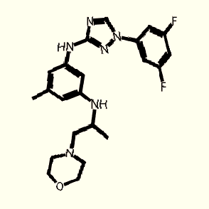 Cc1cc(Nc2ncn(-c3cc(F)cc(F)c3)n2)cc(NC(C)CN2CCOCC2)c1